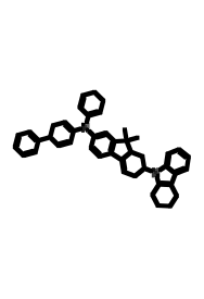 CC1(C)c2cc(N(C3=CCCC=C3)C3=CCC(c4ccccc4)C=C3)ccc2C2=CCC(n3c4c(c5ccccc53)CCCC4)CC21